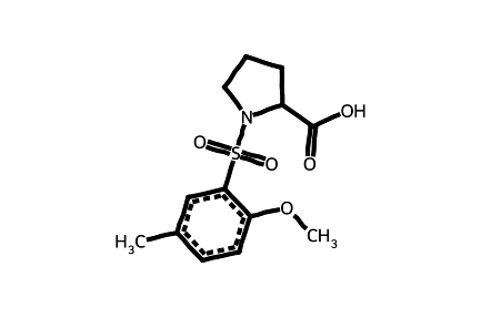 COc1ccc(C)cc1S(=O)(=O)N1CCCC1C(=O)O